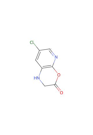 O=C1CNc2cc(Cl)[c]nc2O1